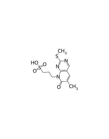 CSc1ncc2cc(C)c(=O)n(CCCS(=O)(=O)O)c2n1